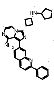 Nc1nccn2c1c(-c1ccc3ccc(-c4ccccc4)nc3c1)nc2[C@H]1C[C@@H](NC2CCCC2)C1